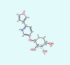 O[C@@H]1[C@@H](O)[C@@H](Oc2ccc(-c3ccoc3)nc2)SC[C@H]1O